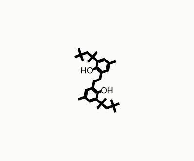 Cc1cc(CCc2cc(C)cc(C(C)(C)CC(C)(C)C)c2O)c(O)c(C(C)(C)CC(C)(C)C)c1